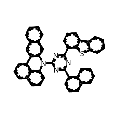 c1ccc2cc3c(cc2c1)-c1cccc2cccc(c12)N3c1nc(-c2cccc3ccccc23)nc(-c2cccc3c2sc2ccccc23)n1